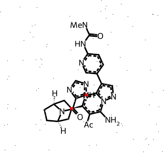 CNC(=O)Nc1ccc(-c2cnn3c(N)c(C(C)=O)c([C@H]4C[C@H]5CC[C@@H](C4)N5C(=O)c4ncn[nH]4)nc23)cn1